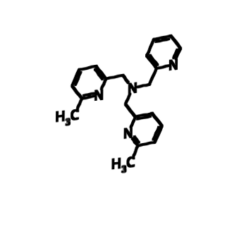 Cc1cccc(CN(Cc2ccccn2)Cc2cccc(C)n2)n1